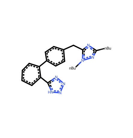 CCCCc1nc(Cc2ccc(-c3ccccc3-c3nnn[nH]3)cc2)n(CCCC)n1